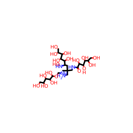 NCC(CNCOC(O)C(O)C(O)C(O)CO)(CNC(=O)C(O)C(O)C(O)C(O)CO)CC(NO)C(O)C(O)C(O)C(O)CO